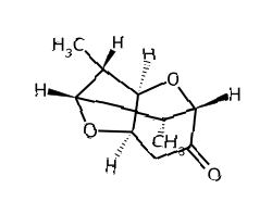 C[C@@H]1[C@@H]2O[C@@H]3CC(=O)[C@H]1O[C@@H]3[C@H]2C